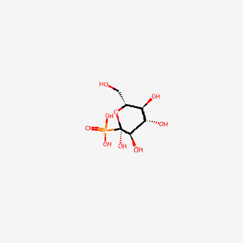 O=P(O)(O)[C@@]1(O)O[C@H](CO)[C@@H](O)[C@H](O)[C@H]1O